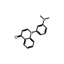 CN(C)c1cccc(-n2ccc(=O)c3ccccc32)c1